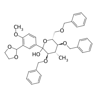 COc1ccc(C2(O)O[C@H](COCc3ccccc3)[C@@H](OCc3ccccc3)[C@H](C)[C@H]2OCc2ccccc2)cc1C1OCCO1